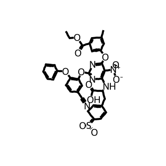 CCOC(=O)c1cc(C)cc(Oc2nc(Oc3cc(C#N)ccc3Oc3ccccc3)nc(NC(CC3=CCC(=S(=O)=O)C=C3)C(=O)O)c2[N+](=O)[O-])c1